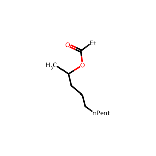 CCCCCCCCC(C)OC(=O)CC